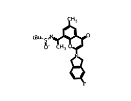 C/C(=N\[S@+]([O-])C(C)(C)C)c1cc(C)cc2c(=O)cc(N3Cc4ccc(F)cc4C3)oc12